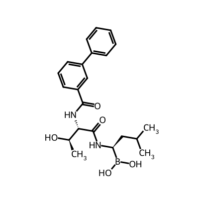 CC(C)C[C@H](NC(=O)[C@@H](NC(=O)c1cccc(-c2ccccc2)c1)[C@@H](C)O)B(O)O